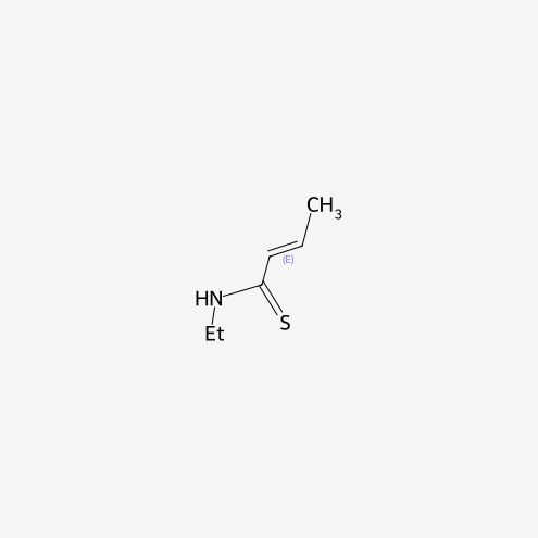 C/C=C/C(=S)NCC